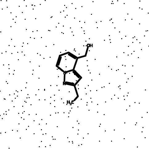 CCc1cc2c(CO)cccn2n1